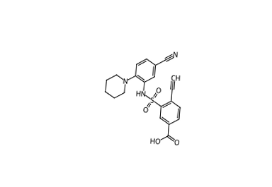 C#Cc1ccc(C(=O)O)cc1S(=O)(=O)Nc1cc(C#N)ccc1N1CCCCC1